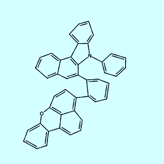 c1ccc(-n2c3ccccc3c3c4ccccc4cc(-c4ccccc4-c4ccc5c6c(cccc46)-c4ccccc4O5)c32)cc1